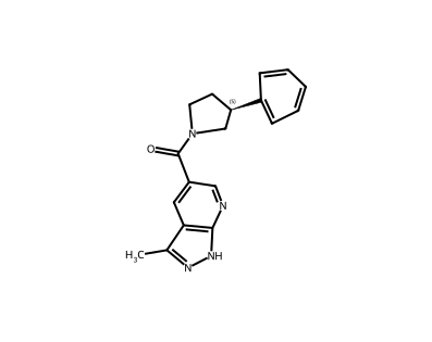 Cc1n[nH]c2ncc(C(=O)N3CC[C@@H](c4ccccc4)C3)cc12